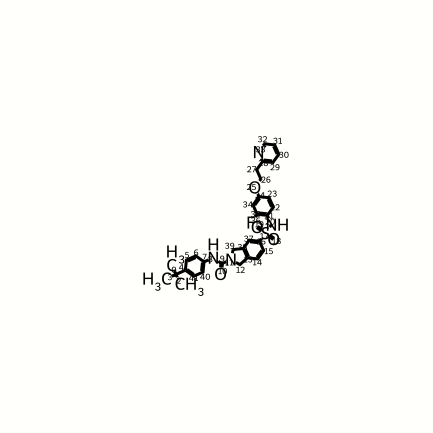 CC(C)(C)c1ccc(NC(=O)N2Cc3ccc(S(=O)(=O)Nc4ccc(OCCc5ccccn5)cc4F)cc3C2)cc1